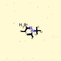 B/C(CC)=N/N(C(=C)C)C(C)(C)C